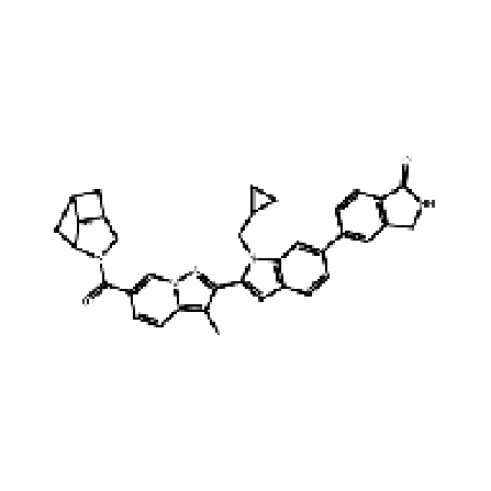 Cc1c(-c2cc3ccc(-c4ccc5c(c4)CNC5=O)cc3n2CC2CC2)nn2cc(C(=O)N3CC4CC5CC3[C@H]54)ccc12